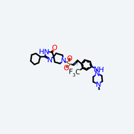 CN1CCN(Nc2ccc(/C=C/S(=O)(=O)N3CCC4(CC3)N=C(C3CCCCC3)NC4=O)c(C(F)(F)F)c2)CC1